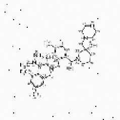 CCC(c1ccc(C(F)(F)F)cc1CN(Cc1cc(C(F)(F)F)cc(C(F)(F)F)c1)/C(N)=N/N(C)N)N1CCCC(O)(CN2CCOCC2)C1